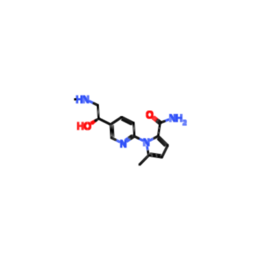 Cc1ccc(C(N)=O)n1-c1ccc([C@@H](O)C[NH])cn1